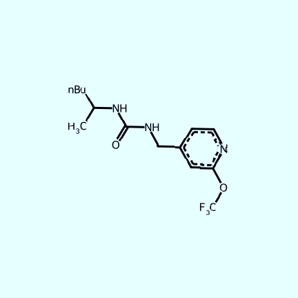 CCCCC(C)NC(=O)NCc1ccnc(OC(F)(F)F)c1